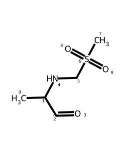 CC([C]=O)NCS(C)(=O)=O